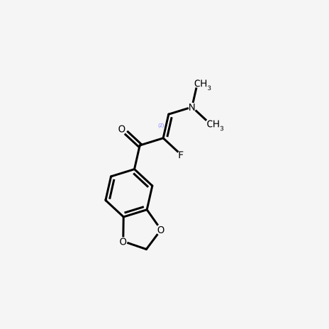 CN(C)/C=C(\F)C(=O)c1ccc2c(c1)OCO2